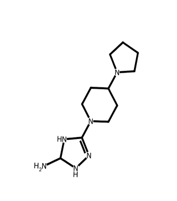 NC1NN=C(N2CCC(N3CCCC3)CC2)N1